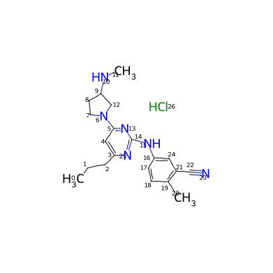 CCCc1cc(N2CCC(NC)C2)nc(Nc2ccc(C)c(C#N)c2)n1.Cl